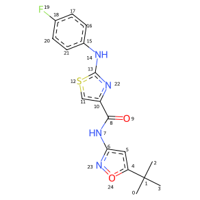 CC(C)(C)c1cc(NC(=O)c2csc(Nc3ccc(F)cc3)n2)no1